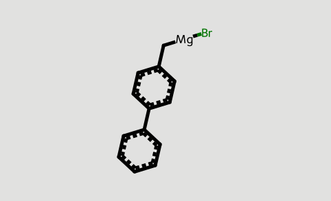 [Br][Mg][CH2]c1ccc(-c2ccccc2)cc1